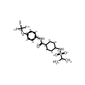 CC(C)S(=O)(=O)NC1CCC(C(=O)Nc2ccc(OC(F)(F)F)cc2)CC1